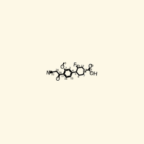 COc1cc(C2CCN(C(=O)O)CC2F)ccc1C(=O)CC#N